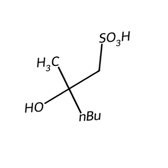 CCCCC(C)(O)CS(=O)(=O)O